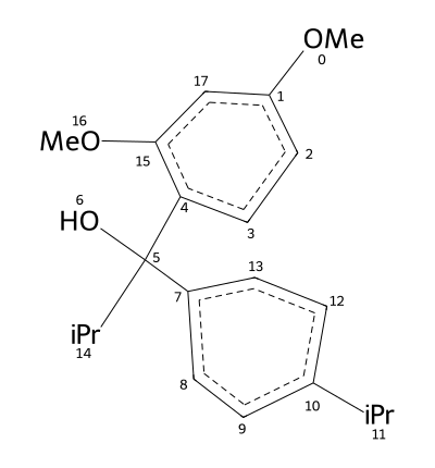 COc1ccc(C(O)(c2ccc(C(C)C)cc2)C(C)C)c(OC)c1